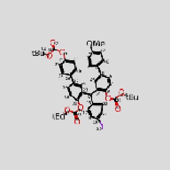 COc1ccc(-c2ccc(OC(=O)OC(C)(C)C)c(C(c3ccc(I)cc3)c3cc(-c4ccc(OC(=O)OC(C)(C)C)cc4)ccc3OC(=O)OC(C)(C)C)c2)cc1